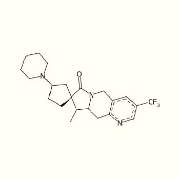 CC1C2Cc3ncc(C(F)(F)F)cc3CN2C(=O)[C@]12CCC(N1CCCCC1)C2